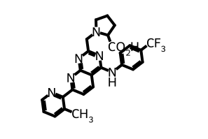 Cc1cccnc1-c1ccc2c(Nc3ccc(C(F)(F)F)cc3)nc(CN3CCCC3C(=O)O)nc2n1